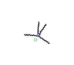 CCCCCCCCCCCC[N+](CCCCCCCCCCCC)(CCCCCCCCCCCC)CCCCCCCCCCCC.[Cl-]